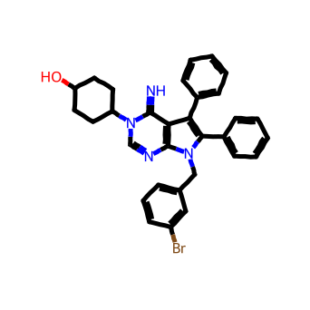 N=c1c2c(-c3ccccc3)c(-c3ccccc3)n(Cc3cccc(Br)c3)c2ncn1C1CCC(O)CC1